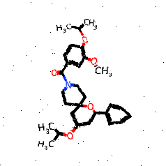 COc1cc(C(=O)N2CCC3(CC2)CC(OC(C)C)CC(c2ccccc2)O3)ccc1OC(C)C